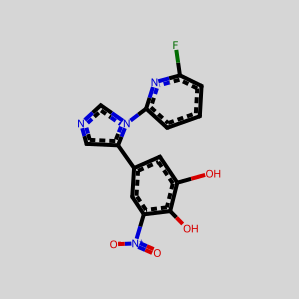 O=[N+]([O-])c1cc(-c2cncn2-c2cccc(F)n2)cc(O)c1O